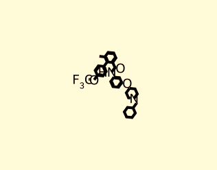 Cc1cccc(C(=O)Nc2cccc(OC3CCN(CC4CCCCC4)CC3)c2)c1-c1ccc(OC(F)(F)F)cc1